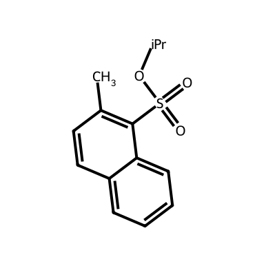 Cc1ccc2ccccc2c1S(=O)(=O)OC(C)C